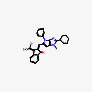 Cn1c(C2CCCCC2)nc2c1cc(/C=C1\C(=O)c3ccccc3C1=C(C#N)C#N)n2-c1ccccc1